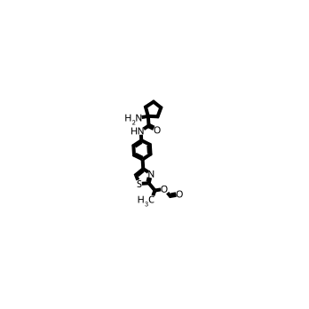 CC(OC=O)c1nc(-c2ccc(NC(=O)C3(N)CCCC3)cc2)cs1